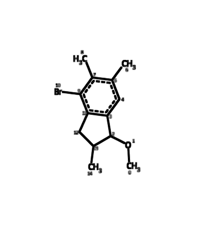 COC1c2cc(C)c(C)c(Br)c2CC1C